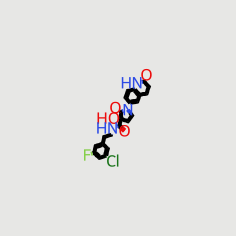 O=C1CCc2cc(N3CCC(O)(C(=O)NCCc4cc(F)cc(Cl)c4)C3=O)ccc2N1